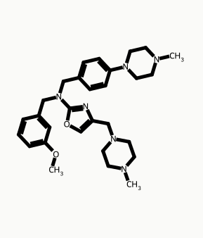 COc1cccc(CN(Cc2ccc(N3CCN(C)CC3)cc2)c2nc(CN3CCN(C)CC3)co2)c1